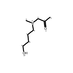 CC(=O)CN(C)CCCCO